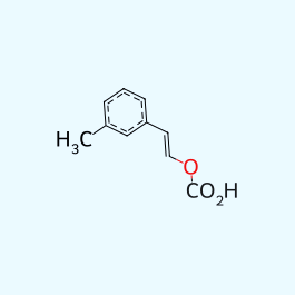 Cc1cccc(C=COC(=O)O)c1